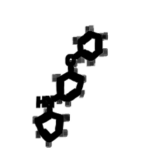 c1ccc(Nc2cccc(Oc3ccccc3)c2)cc1